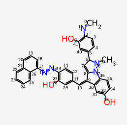 C=Nc1ccc(C2C=c3/c(=C\c4ccc(/N=N/c5cccc6ccccc56)c(O)c4)c4cc(O)ccc4n3N2C)cc1O